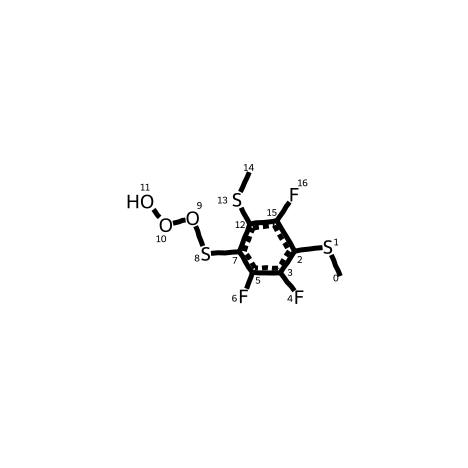 CSc1c(F)c(F)c(SOOO)c(SC)c1F